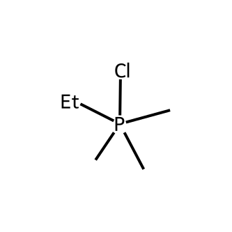 CCP(C)(C)(C)Cl